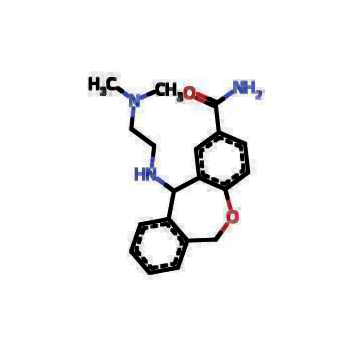 CN(C)CCNC1c2ccccc2COc2ccc(C(N)=O)cc21